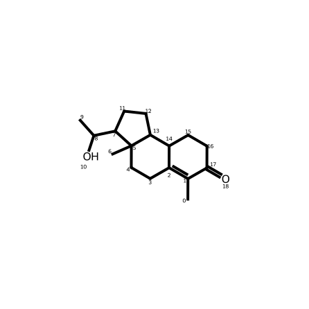 CC1=C2CCC3(C)C(C(C)O)CCC3C2CCC1=O